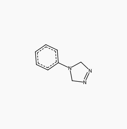 c1ccc(N2CN=NC2)cc1